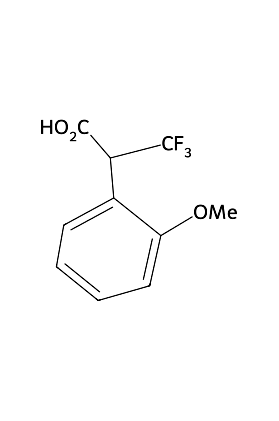 COc1ccccc1C(C(=O)O)C(F)(F)F